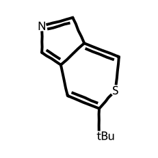 CC(C)(C)c1cc2cncc-2cs1